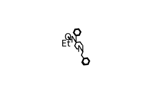 CCC(=O)N(c1ccccc1)C1CCN(CCc2c#cccc2)CC1